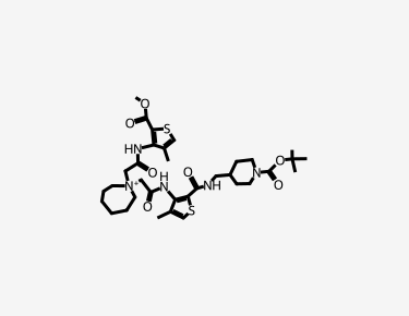 COC(=O)c1scc(C)c1NC(=O)C[N+]1(CC(=O)Nc2c(C)csc2C(=O)NCC2CCN(C(=O)OC(C)(C)C)CC2)CCCCCC1